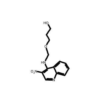 O=[N+]([O-])c1cnc2ccccc2c1NCOCCCO